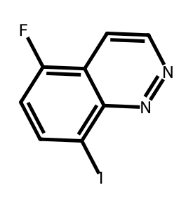 Fc1ccc(I)c2nnccc12